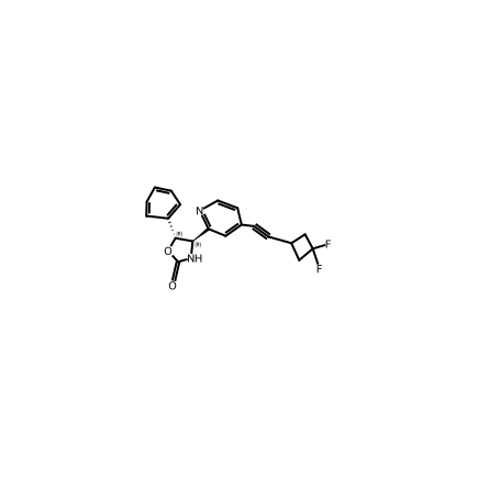 O=C1N[C@H](c2cc(C#CC3CC(F)(F)C3)ccn2)[C@@H](c2ccccc2)O1